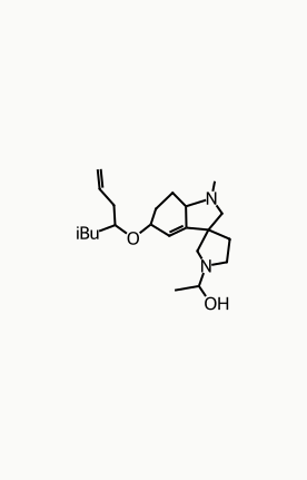 C=CCC(OC1C=C2C(CC1)N(C)CC21CCN(C(C)O)C1)C(C)CC